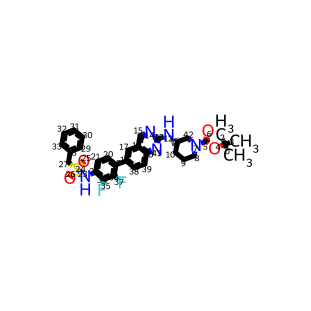 CC(C)(C)OC(=O)N1CCC[C@H](Nc2ncc3cc(-c4ccc(NS(=O)(=O)Cc5ccccc5)c(F)c4F)ccc3n2)C1